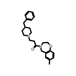 Cc1ccc2c(c1)CN(C(=O)CCN1CCC(Cc3ccccc3)CC1)CCO2